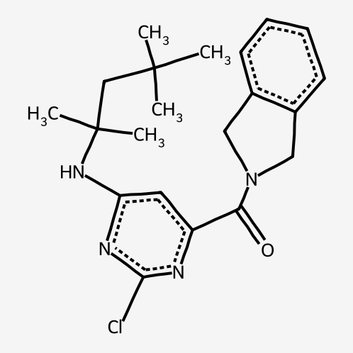 CC(C)(C)CC(C)(C)Nc1cc(C(=O)N2Cc3ccccc3C2)nc(Cl)n1